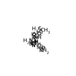 CC(C)c1cccc(-c2cccc3cc(-c4nc([C@H]5CC[C@H](C(N)=O)CC5)n5ncnc(N)c45)[nH]c23)c1